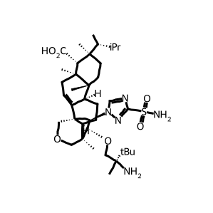 CC(C)[C@@H](C)[C@@]1(C)CC[C@]2(C)[C@H]3CC[C@@H]4[C@@]5(COC[C@]4(C)[C@@H](OC[C@](C)(N)C(C)(C)C)[C@H](n4cnc(S(N)(=O)=O)n4)C5)C3=CC[C@@]2(C)[C@@H]1C(=O)O